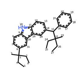 CCC(C)(CC)c1ccc2[nH]c3ccc(C(c4ccccc4)C(C)(CC)CC)cc3c2c1